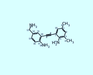 Cc1cc(C)c(N)c(C#Cc2cc(CN)ccc2N)c1